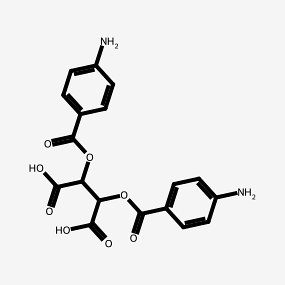 Nc1ccc(C(=O)OC(C(=O)O)C(OC(=O)c2ccc(N)cc2)C(=O)O)cc1